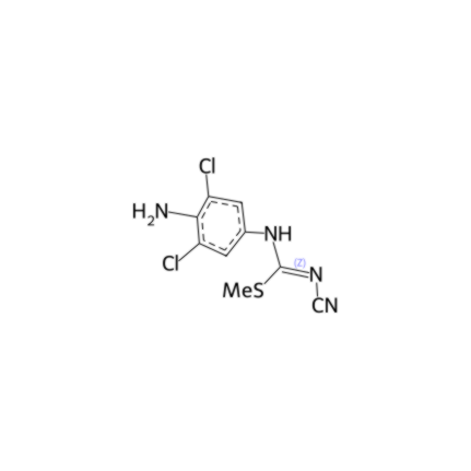 CS/C(=N\C#N)Nc1cc(Cl)c(N)c(Cl)c1